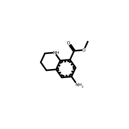 COC(=O)c1cc(N)cc2c1NCCC2